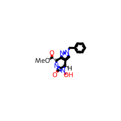 COC(=O)[C@@H]1c2nn(Cc3ccccc3)cc2[C@@H]2CN1C(=O)N2O